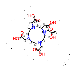 C=C(O)CN1CCN(CC(=O)O)CCN(CC(=O)O)CCN(CC(=O)O)CC1CC(=O)O